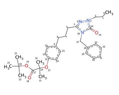 CCCn1nc(CCCc2ccc(OC(C)(C)C(=O)OC(C)(C)C)cc2)n(Cc2ccccc2)c1=O